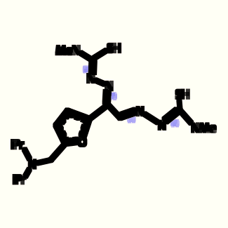 CN/C(S)=N/N=C(/C=N/N=C(\S)NC)c1ccc(CN(C(C)C)C(C)C)o1